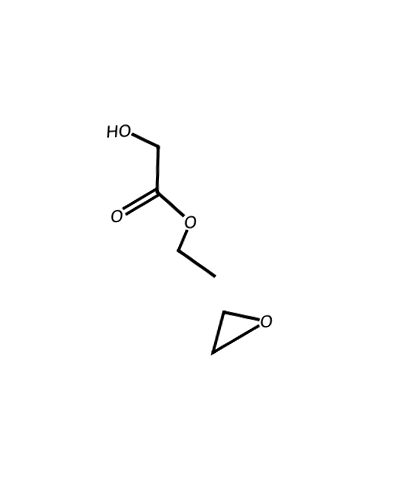 C1CO1.CCOC(=O)CO